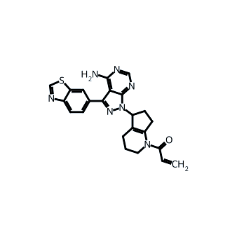 C=CC(=O)N1CCCC2=C1CCC2n1nc(-c2ccc3ncsc3c2)c2c(N)ncnc21